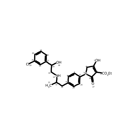 CCOC(=O)C1=C(O)CN(c2ccc(CC(C)NCC(O)c3cccc(Cl)c3)cc2)C1=O